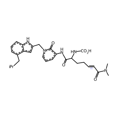 CC(C)Cc1cccc2[nH]c(Cn3cccc(NC(=O)C(CC/C=C/C(=O)N(C)C)NC(=O)O)c3=O)cc12